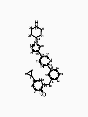 O=c1ccc(C2CC2)nn1Cc1cccc(-c2ncc(-c3cnn(C4CCNCC4)c3)cn2)c1